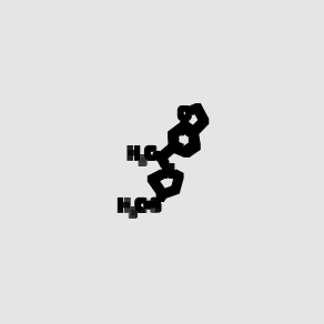 CSC1CCN(C(C)c2ccc3c(c2)OCC3)C1